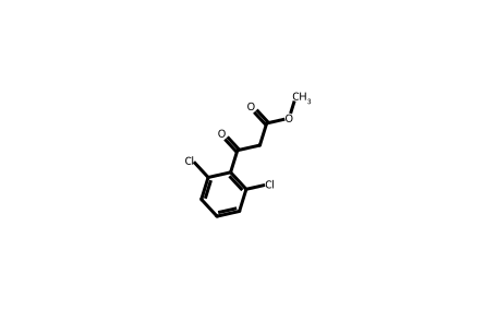 COC(=O)CC(=O)c1c(Cl)cccc1Cl